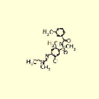 CCN(C)/C=N/c1cc(C)c(S(C)(=O)=NC(=O)c2cccc(C)c2)cc1Cl